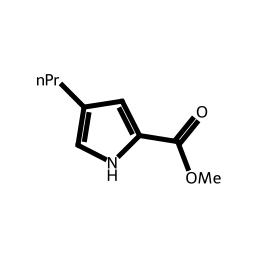 CCCc1c[nH]c(C(=O)OC)c1